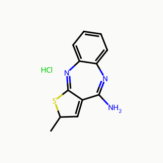 CC1C=C2C(N)=Nc3ccccc3N=C2S1.Cl